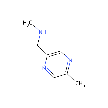 CNCc1cnc(C)cn1